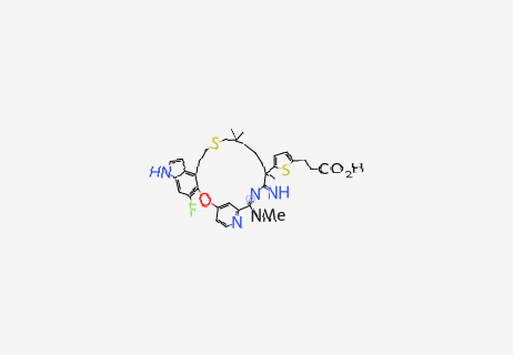 CN/C1=N\C(=N)C(C)(c2ccc(CCC(=O)O)s2)CCCC(C)(C)CSCCc2c(c(F)cc3[nH]ccc23)Oc2ccnc1c2